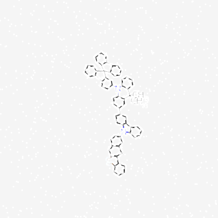 CC1(C)c2ccccc2N(c2ccc3c(c2)C2(c4ccccc4-c4ccccc42)c2ccccc2-3)c2ccc(-c3ccc4c(c3)c3ccccc3n4-c3ccc4cc5sc6ccccc6c5cc4c3)cc21